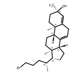 CC(C)CCC[C@@H](C)[C@H]1CC[C@H]2C3=CCC4=C[C@@](O)(C(F)(F)F)CC[C@]4(C)[C@H]3CC[C@]12C